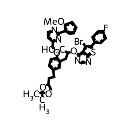 COc1ccccc1-c1nccc(COc2ccc(CCC3COC(C)(C)O3)cc2CC(Oc2ncnc3sc(-c4ccc(F)cc4)c(Br)c23)C(=O)O)n1